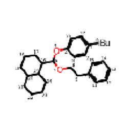 CCC(C)c1ccc(OC(OCCc2ccccc2)C2CCCC3CCCCC32)cc1